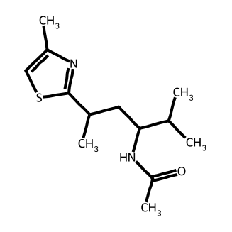 CC(=O)NC(CC(C)c1nc(C)cs1)C(C)C